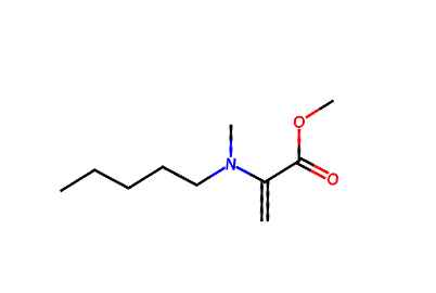 C=C(C(=O)OC)N(C)CCCCC